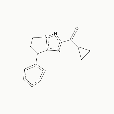 O=C(c1nc2n(n1)CCC2c1ccccc1)C1CC1